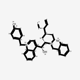 C=C[C@@H](CI)[C@H]1CCN(Cc2ccccc2C#N)[C@H]([C@H](O)c2cc[n+](Cc3ccc(C(F)(F)F)cc3)c3ccccc23)C1